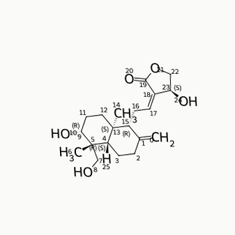 C=C1CC[C@@H]2[C@](C)(CO)[C@H](O)CC[C@@]2(C)[C@@H]1CC=C1C(=O)OC[C@H]1O